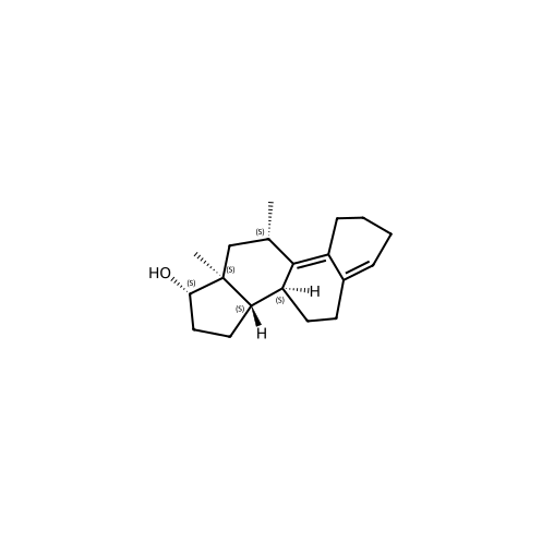 C[C@H]1C[C@]2(C)[C@@H](O)CC[C@H]2[C@@H]2CCC3=CCCCC3=C21